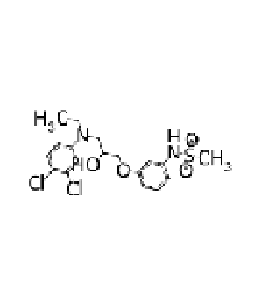 CCN(C[C@H](O)COc1cccc(NS(C)(=O)=O)c1)c1ccc(Cl)c(Cl)c1